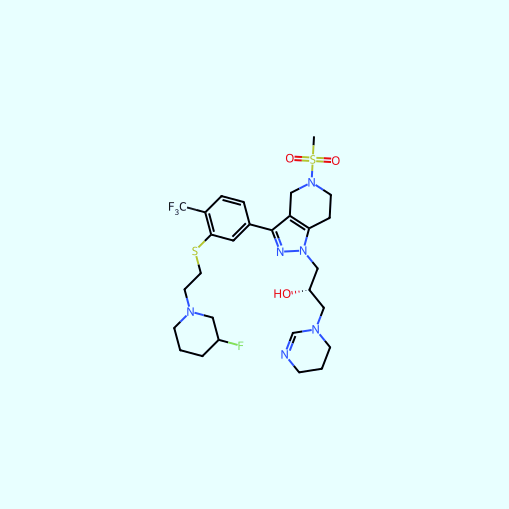 CS(=O)(=O)N1CCc2c(c(-c3ccc(C(F)(F)F)c(SCCN4CCCC(F)C4)c3)nn2C[C@@H](O)CN2C=NCCC2)C1